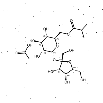 CC(=O)O.CC(C)C(=O)OC[C@H]1O[C@H](O[C@]2(CO)O[C@H](CO)[C@@H](O)[C@@H]2O)[C@H](O)[C@@H](O)[C@@H]1O